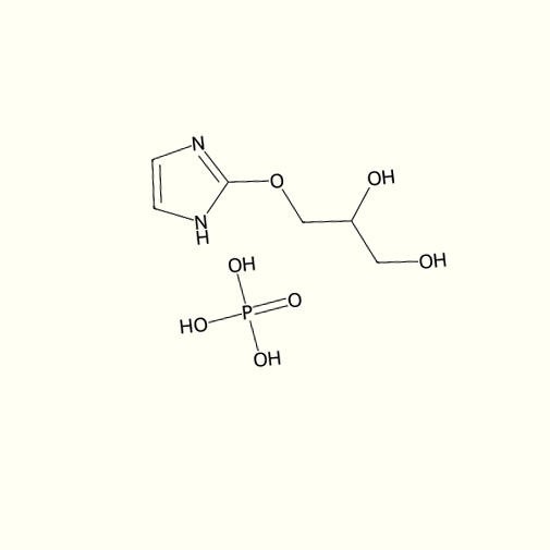 O=P(O)(O)O.OCC(O)COc1ncc[nH]1